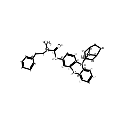 CN(CCc1ccccc1)C(=O)Oc1ccc2c(c1)Oc1ccccc1N2C1CC2CCC(C1)N2C